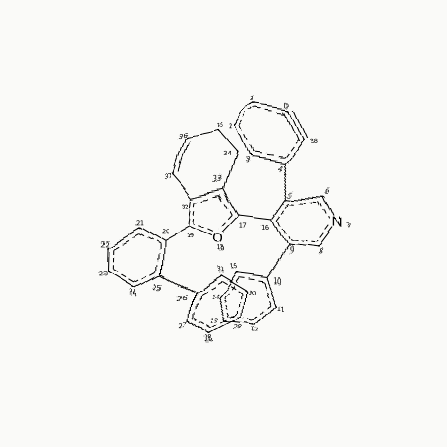 c1cccc(-c2cncc(-c3ccccc3)c2-c2oc(-c3ccccc3-c3ccccc3)c3c2CCC=C3)c#1